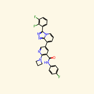 O=C(Nc1ccc(F)cc1)c1cc(-c2cccn3c(-c4cccc(F)c4F)nnc23)cnc1N1CCC1